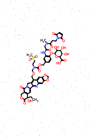 CC[C@@]1(O)C(=O)OCc2c1cc1n(c2=O)Cc2c-1nc1cc3c(cc1c2COCN(CCS(C)(=O)=O)C(=O)OCc1ccc(O[C@@H]2OC(C(=O)O)[C@@H](O)[C@H](O)C2O)c(NC(=O)CN(C)C(=O)CCN2C(=O)C=CC2=O)c1)OCO3